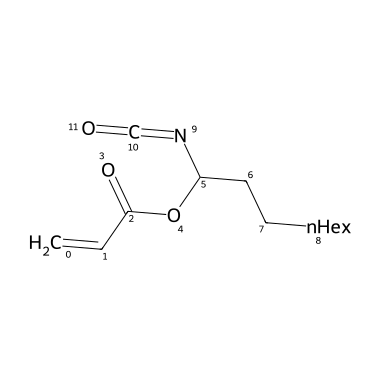 C=CC(=O)OC(CCCCCCCC)N=C=O